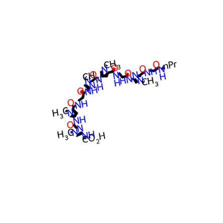 CCCNC(=O)CCNC(=O)c1nc(NC(=O)CCNC(=O)c2cc(NC(=O)c3nc(NC(=O)CCNC(=O)c4cc(NC(=O)c5nc(NC(=O)O)cn5C)cn4C)cn3C)cn2C)cn1C